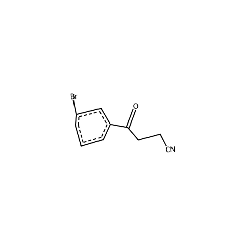 N#CCCC(=O)c1cccc(Br)c1